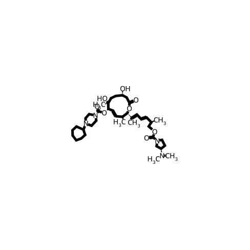 C/C(=C\C=C\[C@@H](C)COC(=O)N1CC[C@H](N(C)C)C1)[C@H]1OC(=O)C[C@@H](O)CC[C@](C)(O)[C@@H](OC(=O)N2CCN(C3CCCCCC3)CC2)/C=C/[C@@H]1C